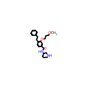 COCCCOc1cc(C(=O)N[C@@H]2CCCNC2)ccc1CCc1ccccc1